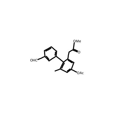 COC(=O)Cc1cc(OC(C)=O)cc(C)c1-c1cccc(C=O)c1